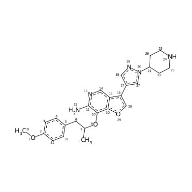 COc1ccc(CC(C)Oc2c(N)ncc3c(-c4cnn(C5CCNCC5)c4)coc23)cc1